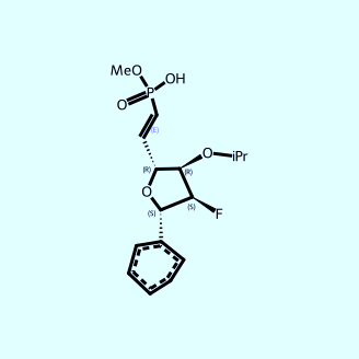 COP(=O)(O)/C=C/[C@H]1O[C@@H](c2ccccc2)[C@H](F)[C@@H]1OC(C)C